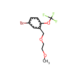 COCCOCc1cc(Br)ccc1OC(F)(F)F